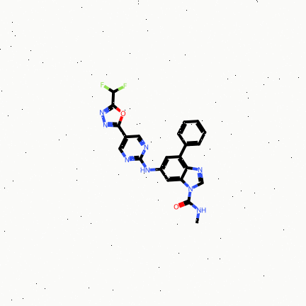 CNC(=O)n1cnc2c(-c3ccccc3)cc(Nc3ncc(-c4nnc(C(F)F)o4)cn3)cc21